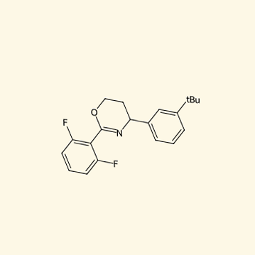 CC(C)(C)c1cccc(C2CCOC(c3c(F)cccc3F)=N2)c1